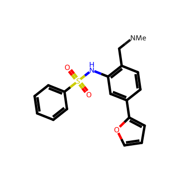 CNCc1ccc(-c2ccco2)cc1NS(=O)(=O)c1ccccc1